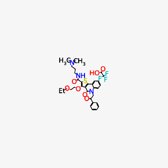 CCOCCOc1c(C(=O)NCCCN(C)C)sc2c1c(=O)n(CC(=O)c1ccccc1)c1ccccc21.O=C(O)C(F)(F)F